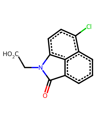 O=C(O)CN1C(=O)c2cccc3c(Cl)ccc1c23